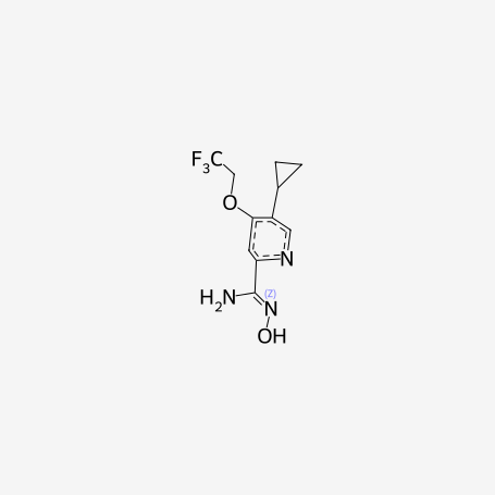 N/C(=N\O)c1cc(OCC(F)(F)F)c(C2CC2)cn1